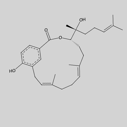 CC(C)=CCC[C@@](C)(O)[C@@H]1CC/C(C)=C/CC/C(C)=C/Cc2cc(ccc2O)C(=O)O1